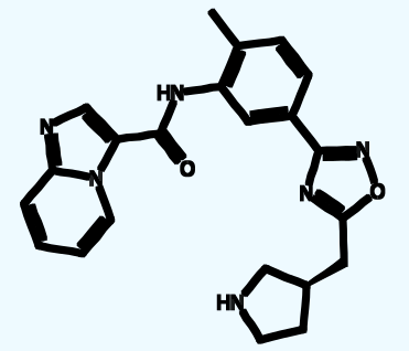 Cc1ccc(-c2noc(C[C@H]3CCNC3)n2)cc1NC(=O)c1cnc2ccccn12